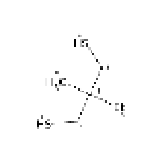 CCC(C)(CS)CS